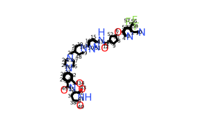 N#Cc1ncc(O[C@@H]2CC[C@@H](C(=O)Nc3ccc(N4CCC(CN5CCN(c6ccc7c(c6)C(=O)N(C6CCC(=O)NC6=O)C7=O)CC5)CC4)nn3)C2)cc1C(F)(F)F